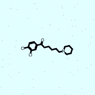 O=C(CCCCCN1CC[CH]CC1)c1ccc(Cl)c(Cl)c1